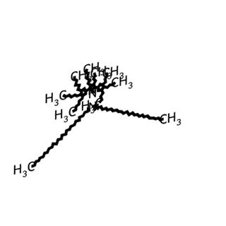 CCCCCCC1=C(c2cc(CCCCCC)c(CCCCCC)c(CCCCCC)c2)[N+](=[N-])C(c2cc(CCCC)c(CCCC)c(CCCC)c2)=C1CCCC.CCCCCCCCCCCCCCCCCCCCCCCCCC[CH2][Ni][CH2]CCCCCCCCCCCCCCCCCCCCCCCCCC